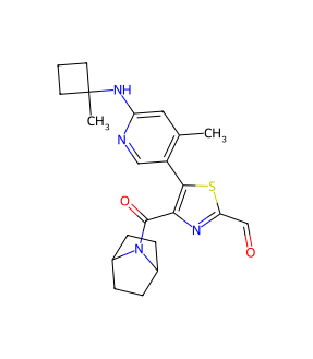 Cc1cc(NC2(C)CCC2)ncc1-c1sc(C=O)nc1C(=O)N1C2CCC1CC2